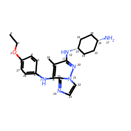 CCOc1ccc(Nc2c(C)c(N[C@H]3CC[C@@H](N)CC3)nn3ccnc23)cc1